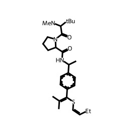 CC/C=C\SC(=C(C)C)c1ccc(C(C)NC(=O)C2CCCN2C(=O)C(NC)C(C)(C)C)cc1